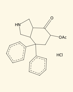 CC(=O)OC1CC(c2ccccc2)(c2ccccc2)C2CNCC2C1=O.Cl